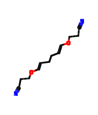 N#CCCOC=CCCC=COCCC#N